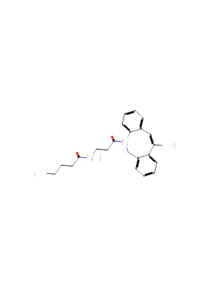 C/C1=C/c2ccccc2N(C(=O)CCNC(=O)CCCC(C)C)Cc2ccccc21